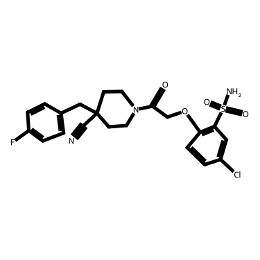 N#CC1(Cc2ccc(F)cc2)CCN(C(=O)COc2ccc(Cl)cc2S(N)(=O)=O)CC1